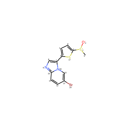 C[S+]([O-])c1ccc(-c2cnc3ccc(Br)cn23)s1